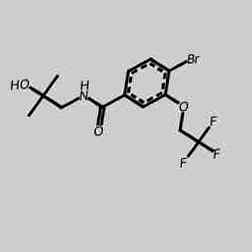 CC(C)(O)CNC(=O)c1ccc(Br)c(OCC(F)(F)F)c1